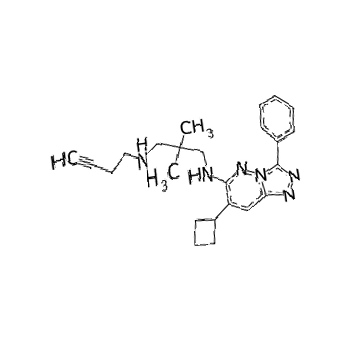 C#CCCNCC(C)(C)CNc1nn2c(-c3ccccc3)nnc2cc1C1CCC1